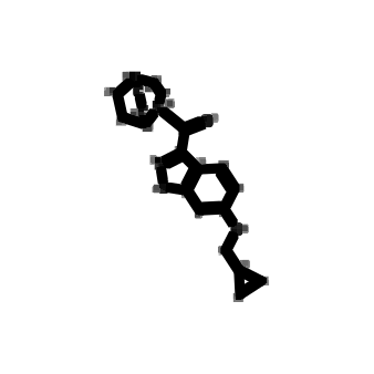 O=C(c1nsc2cc(OCC3CC3)ccc12)N1CCN2CCC1CC2